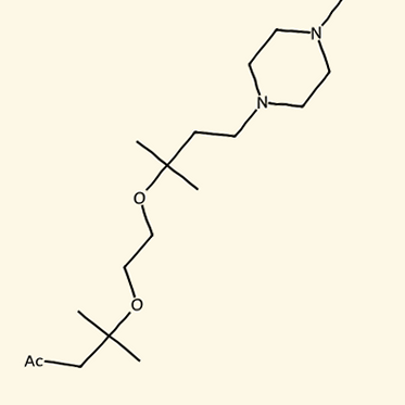 CC(=O)CC(C)(C)OCCOC(C)(C)CCN1CCN(C)CC1